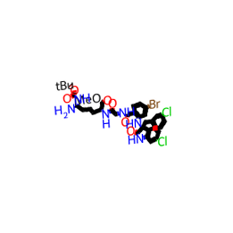 COC(=O)C(CCC[C@@H](N)NC(=O)OC(C)(C)C)NC(=O)CNC(=O)c1ccc(Br)cc1NC1(Cc2cccc(Cl)c2)C(=O)Nc2cc(Cl)ccc21